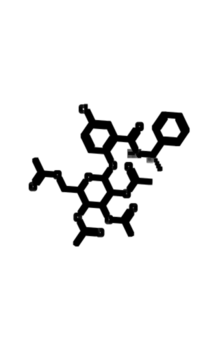 CC(=O)OCC1OC(Oc2ccc(Cl)cc2C(=O)N[C@@H](C)c2ccccc2)C(OC(C)=O)C(OC(C)=O)C1OC(C)=O